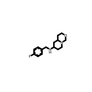 Fc1ccc(CNC2CCN3COCCC3C2)cc1